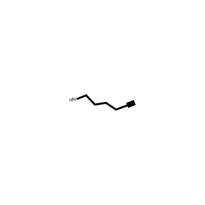 C#CCCCCC[CH]C